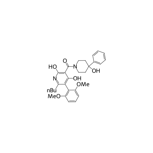 CCCCc1nc(O)c(C(=O)N2CCC(O)(c3ccccc3)CC2)c(O)c1-c1c(OC)cccc1OC